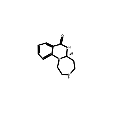 O=C1N[C@H]2CCNCCN2c2ccccc21